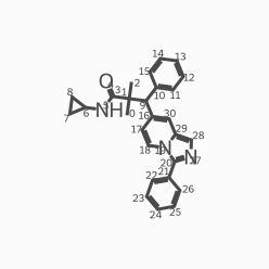 CC(C)(C(=O)NC1CC1)C(c1ccccc1)c1ccn2c(-c3ccccc3)ncc2c1